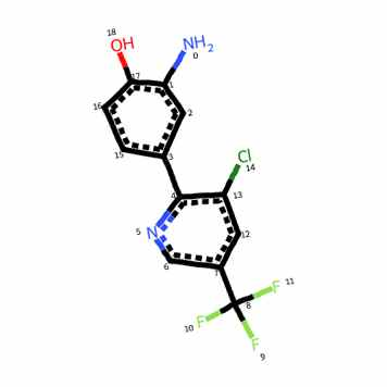 Nc1cc(-c2ncc(C(F)(F)F)cc2Cl)ccc1O